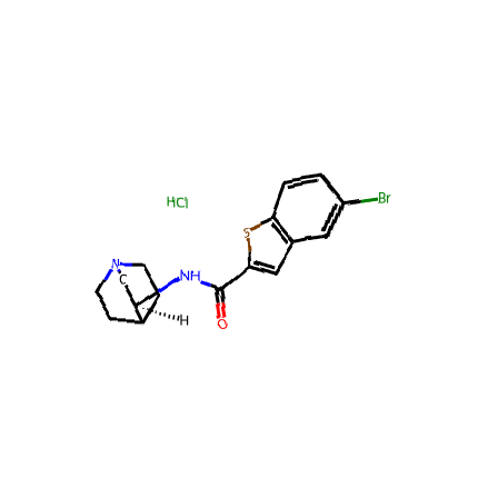 Cl.O=C(N[C@@H]1CN2CCC1CC2)c1cc2cc(Br)ccc2s1